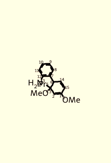 COC1=CC(OC)(C(C)C)C(c2ccccc2N)C=C1